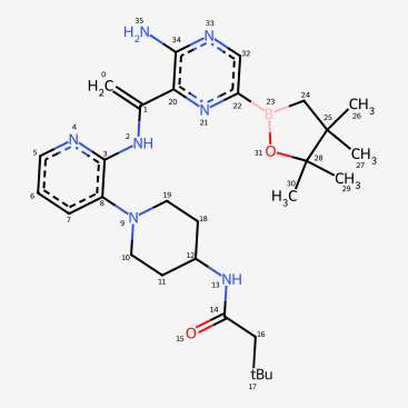 C=C(Nc1ncccc1N1CCC(NC(=O)CC(C)(C)C)CC1)c1nc(B2CC(C)(C)C(C)(C)O2)cnc1N